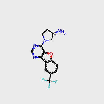 N[C@@H]1CCN(c2ncnc3c2oc2ccc(C(F)(F)F)cc23)C1